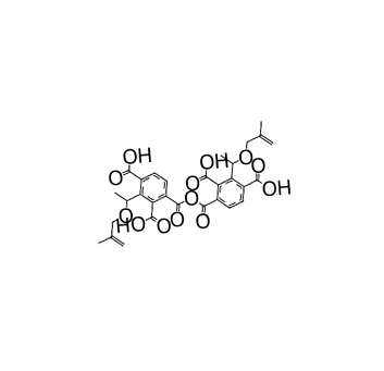 C=C(C)COC(C)c1c(C(=O)O)ccc(C(=O)OC(=O)c2ccc(C(=O)O)c(C(C)OCC(=C)C)c2C(=O)O)c1C(=O)O